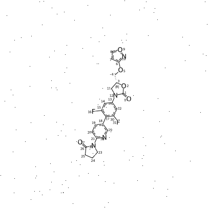 O=C1O[C@@H](COc2ccon2)CN1c1cc(F)c(-c2ccc(N3CCCC3=O)nc2)c(F)c1